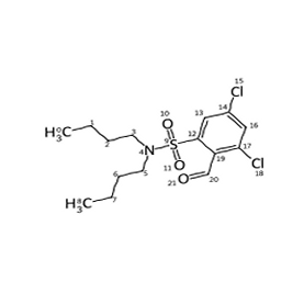 CCCCN(CCCC)S(=O)(=O)c1cc(Cl)cc(Cl)c1C=O